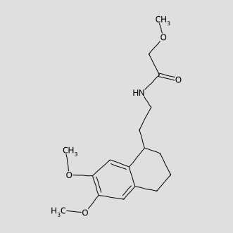 COCC(=O)NCCC1CCCc2cc(OC)c(OC)cc21